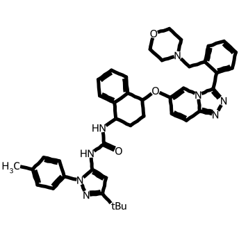 Cc1ccc(-n2nc(C(C)(C)C)cc2NC(=O)NC2CCC(Oc3ccc4nnc(-c5ccccc5CN5CCOCC5)n4c3)c3ccccc32)cc1